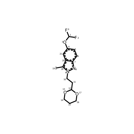 FC(F)Oc1ccc2nn(CCC3OCCCO3)c(I)c2c1